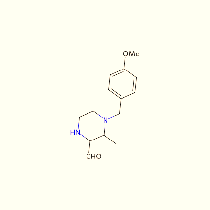 COc1ccc(CN2CCNC(C=O)C2C)cc1